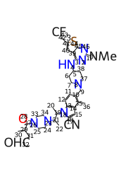 CNc1nc(NC2CCN(Cc3ccc4c(cc(C#N)n4C(C)C(C)N4CCN(C(=O)C(C)CC=O)CC4)c3C)CC2)c2cc(CC(F)(F)F)sc2n1